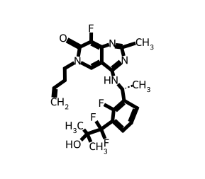 C=CCCn1cc2c(N[C@H](C)c3cccc(C(F)(F)C(C)(C)O)c3F)nc(C)nc2c(F)c1=O